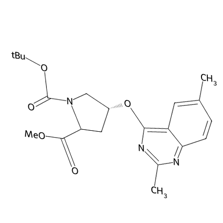 COC(=O)C1C[C@@H](Oc2nc(C)nc3ccc(C)cc23)CN1C(=O)OC(C)(C)C